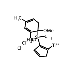 COC1([Si](C)(C)C2=[C]([Ti+2])CC=C2)CC=C(C)C=C1C(C)(C)C.[Cl-].[Cl-]